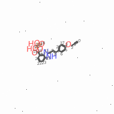 C#CCOc1ccc(/C=C/c2nc3c(C(=O)OP(=O)(O)O)cccc3[nH]2)cc1